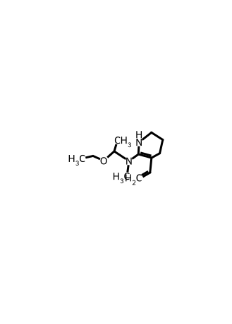 C=CC1=C(N(C)C(C)OCC)NCCC1